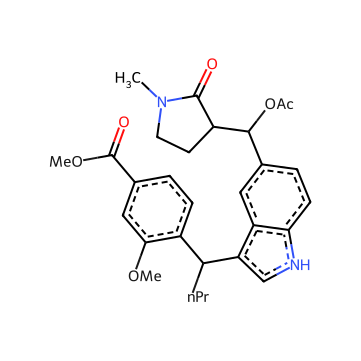 CCCC(c1ccc(C(=O)OC)cc1OC)c1c[nH]c2ccc(C(OC(C)=O)C3CCN(C)C3=O)cc12